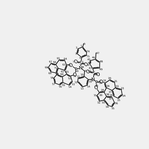 Cc1ccc(S(=O)(=O)N(Cc2ccccc2N(p2oc3ccc4ccccc4c3c3c(ccc4ccccc43)o2)S(=O)(=O)c2ccc(C)cc2)p2oc3ccc4ccccc4c3c3c(ccc4ccccc43)o2)cc1